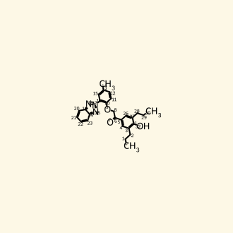 CCCc1cc(C(=O)COc2ccc(C)cc2-n2nc3ccccc3n2)cc(CCC)c1O